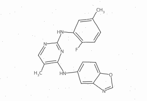 Cc1ccc(F)c(Nc2ncc(C)c(Nc3ccc4ocnc4c3)n2)c1